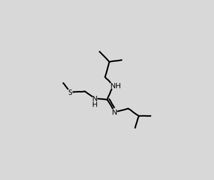 CSCN/C(=N/CC(C)C)NCC(C)C